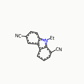 CCn1c2ccc(C#N)cc2c2cccc(C#N)c21